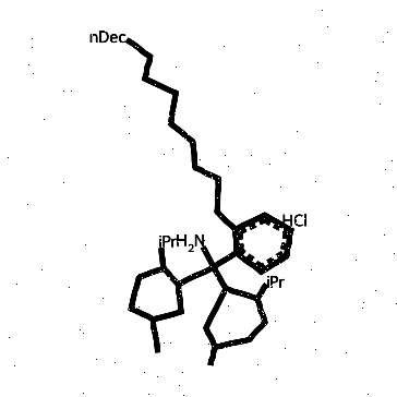 CCCCCCCCCCCCCCCCCCc1ccccc1C(N)(C1CC(C)CCC1C(C)C)C1CC(C)CCC1C(C)C.Cl